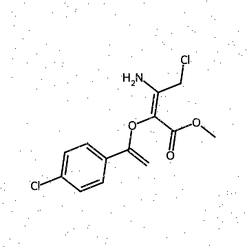 C=C(O/C(C(=O)OC)=C(\N)CCl)c1ccc(Cl)cc1